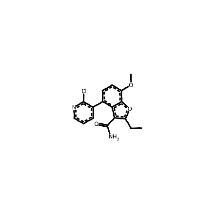 CCc1oc2c(OC)ccc(-c3cccnc3Cl)c2c1C(N)=O